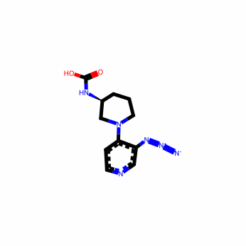 [N-]=[N+]=Nc1cnccc1N1CCC[C@H](NC(=O)O)C1